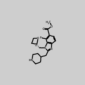 COC(=O)c1ccc2nc(CC3CCNCC3)n(C[C@@H]3CCO3)c2c1F